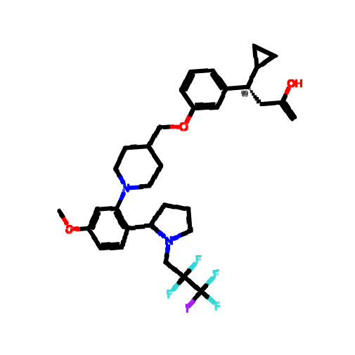 C=C(O)C[C@H](c1cccc(OCC2CCN(c3cc(OC)ccc3C3CCCN3CC(F)(F)C(F)(F)I)CC2)c1)C1CC1